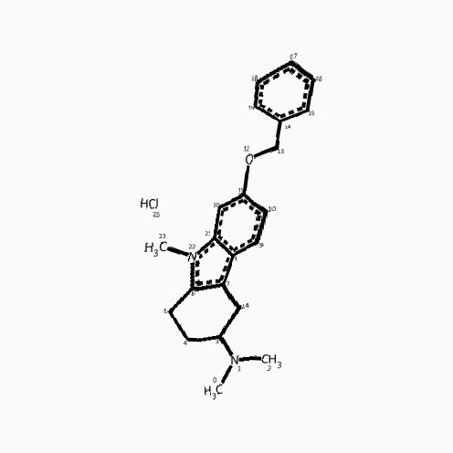 CN(C)C1CCc2c(c3ccc(OCc4ccccc4)cc3n2C)C1.Cl